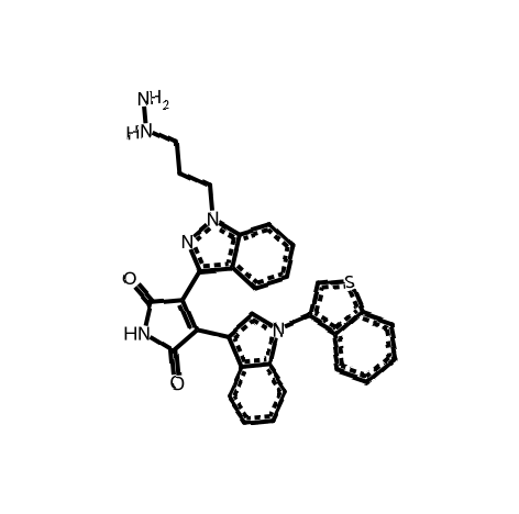 NNCCCn1nc(C2=C(c3cn(-c4csc5ccccc45)c4ccccc34)C(=O)NC2=O)c2ccccc21